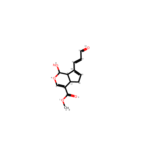 COC(=O)C1=COC(O)C2C(/C=C/C=O)=CCC12